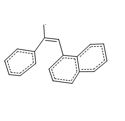 [CH2]C(=Cc1cccc2ccccc12)c1ccccc1